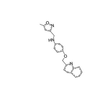 Cc1cc(CNc2ccc(OCc3ccc4ccccc4n3)cc2)no1